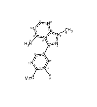 COc1ncc(-c2nn(C)c3ncnc(N)c23)cc1F